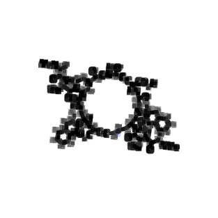 CN[C@@H](C)C(=O)N[C@H](C(=O)N[C@H]1C/C=C/CC[C@@H](C(=O)O)NC(=O)[C@H](Cc2ccc3ccccc3c2)NC(=O)[C@@H]2CN(CCN2C(=O)[C@@H](NC(=O)[C@H](C)NC)C(C)(C)C)C(=O)CNC(=O)CC[C@@H](C(=O)O)NC(=O)[C@H](Cc2ccc3ccccc3c2)NC1=O)C(C)(C)C